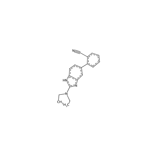 CCN(CC)c1nc2cc(-c3ccccc3C#N)ccc2[nH]1